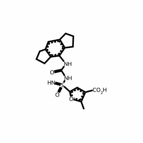 Cc1oc(S(=N)(=O)NC(=O)Nc2c3c(cc4c2CCC4)CCC3)cc1C(=O)O